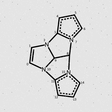 C1=CN2c3cccn3C3C2N1c1cccn13